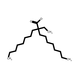 CCCCCCCCC(CC)(CCCCCCCC)C([O])=O